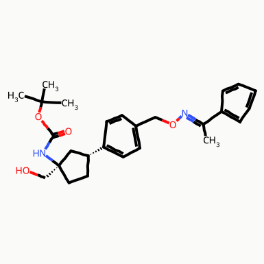 C/C(=N\OCc1ccc([C@@H]2CC[C@@](CO)(NC(=O)OC(C)(C)C)C2)cc1)c1ccccc1